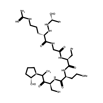 CSCC[C@H](NC(=O)[C@H](CC(C)C)NC(=O)CNC(=O)[C@H](CCCNC(=N)N)NN[C@H](C=O)C(C)C)C(=O)N[C@@H](CS)C(=O)C(C)N1CCC[C@H]1C=O